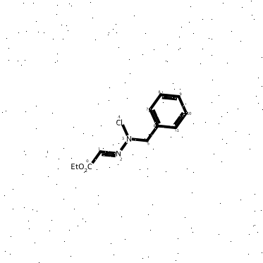 CCOC(=O)C=NN(Cl)Cc1ccccc1